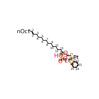 CCCCCCCCC=CCCCCCCCCCCCCOC(C[PH](CC)(CC)c1ccccc1)O[PH](=O)O